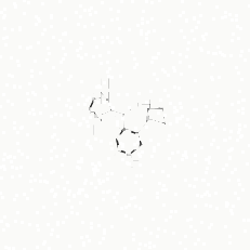 OC(c1ccc(F)cc1C1CCC1)C1NC=CN1